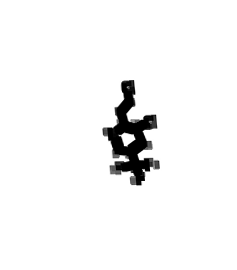 FC(F)(F)c1cnc(CCCl)c(Cl)c1